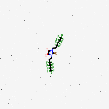 O=C1C(=O)N(CCC(F)(F)C(F)(F)C(F)(F)C(F)(F)F)C(=S)N1CCC(F)(F)C(F)(F)C(F)(F)C(F)(F)F